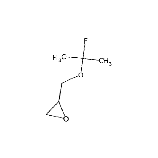 CC(C)(F)OCC1CO1